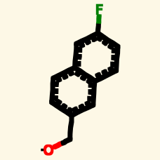 [O]Cc1ccc2cc(F)ccc2c1